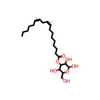 CCCCC/C=C\C/C=C\CCCCCCCC(=O)OC1C(O)C(O)OC(CO)C1O